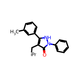 Cc1cccc(-c2[nH]n(-c3ccccc3)c(=O)c2CC(C)C)c1